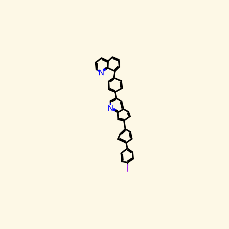 Ic1ccc(-c2ccc(-c3ccc4cc(-c5ccc(-c6cccc7cccnc67)cc5)cnc4c3)cc2)cc1